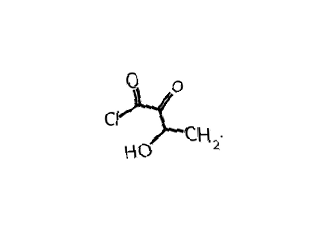 [CH2]C(O)C(=O)C(=O)Cl